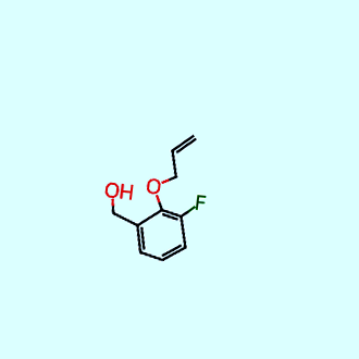 C=CCOc1c(F)cccc1CO